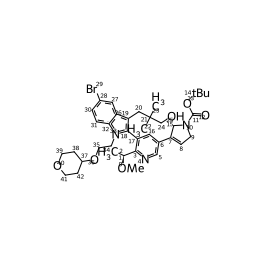 CO[C@@H](C)c1ncc(C2=CCN(C(=O)OC(C)(C)C)C2)cc1-c1c(CC(C)(C)CO)c2cc(Br)ccc2n1CCOC1CCOCC1